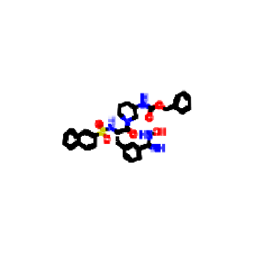 N=C(NO)c1cccc(C[C@H](NS(=O)(=O)c2ccc3ccccc3c2)C(=O)N2CCC[C@@H](NC(=O)OCc3ccccc3)C2)c1